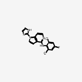 Fc1cc(Cl)c(Nc2nccc3c2ccn3-c2ncc[nH]2)c(Cl)c1